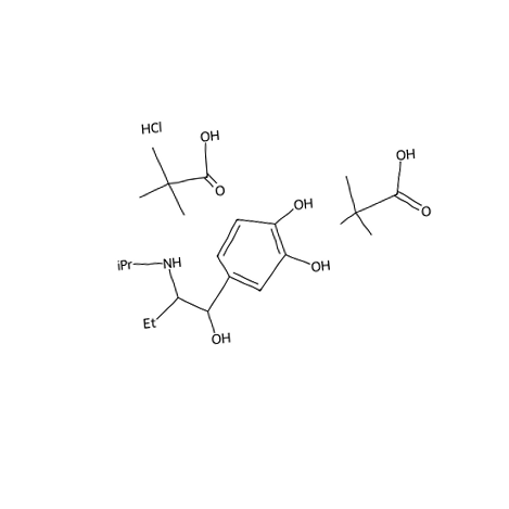 CC(C)(C)C(=O)O.CC(C)(C)C(=O)O.CCC(NC(C)C)C(O)c1ccc(O)c(O)c1.Cl